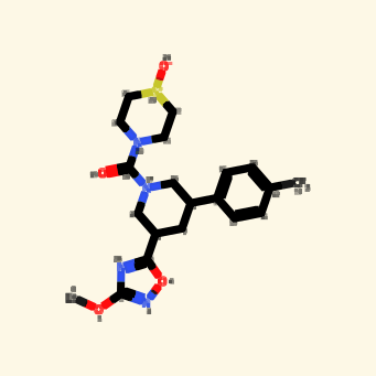 CCOc1noc(C2CC(c3ccc(C(F)(F)F)cc3)CN(C(=O)N3CC[S+]([O-])CC3)C2)n1